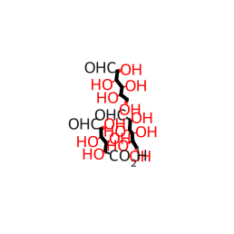 O=C[C@@H](O)[C@@H](O)[C@H](O)[C@H](O)CO.O=C[C@H](O)[C@@H](O)[C@H](O)[C@H](O)C(=O)O.O=C[C@H](O)[C@@H](O)[C@H](O)[C@H](O)CO